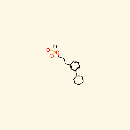 CCS(=O)(=O)OCCCc1cccc(C2CCCCC2)c1